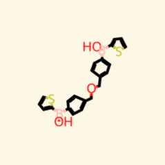 OB(c1ccc(COCc2ccc(B(O)c3cccs3)cc2)cc1)c1cccs1